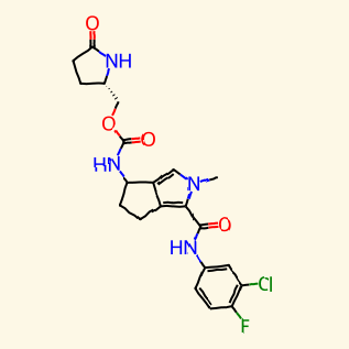 Cn1cc2c(c1C(=O)Nc1ccc(F)c(Cl)c1)CCC2NC(=O)OC[C@@H]1CCC(=O)N1